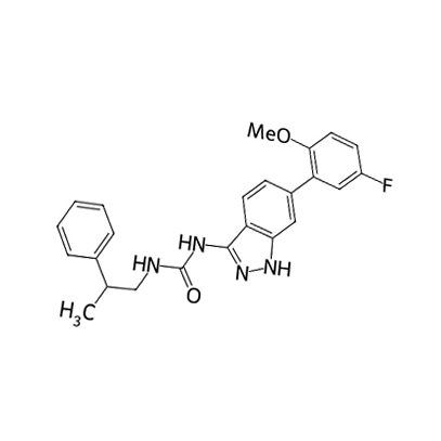 COc1ccc(F)cc1-c1ccc2c(NC(=O)NCC(C)c3ccccc3)n[nH]c2c1